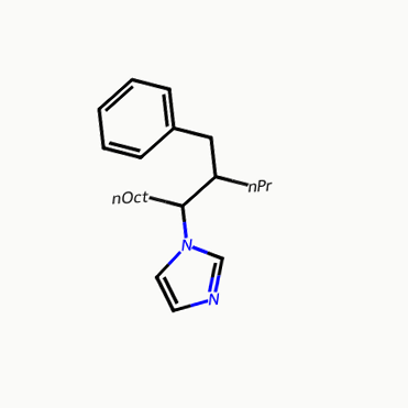 CCCCCCCCC(C(CCC)Cc1ccccc1)n1ccnc1